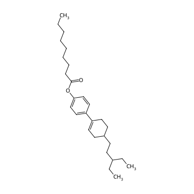 CCCCCCCCC(=O)Oc1ccc(C2=CCC(CCC(CC)CC)CC2)cc1